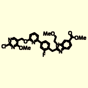 COCCn1c(Cc2ccc(-c3cccc(OCc4cnc(Cl)nc4OC)n3)cc2F)nc2ccc(C(=O)OC)cc21